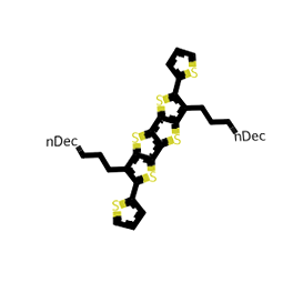 CCCCCCCCCCCCCc1c(-c2cccs2)sc2c1sc1c3sc(-c4cccs4)c(CCCCCCCCCCCCC)c3sc21